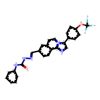 O=C(N/N=C/c1ccc2c(ccn3c(-c4ccc(OC(F)(F)F)cc4)cnc23)c1)Nc1ccccc1